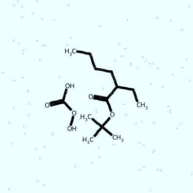 CCCCC(CC)C(=O)OC(C)(C)C.O=C(O)OO